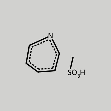 CS(=O)(=O)O.c1ccncc1